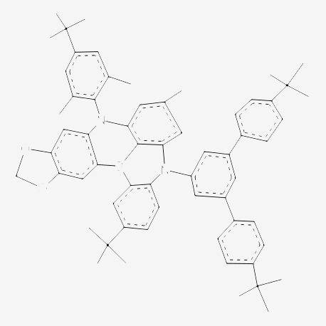 Cc1cc2c3c(c1)N(c1c(C)cc(C(C)(C)C)cc1C)c1cc4c(cc1B3c1cc(C(C)(C)C)ccc1N2c1cc(-c2ccc(C(C)(C)C)cc2)cc(-c2ccc(C(C)(C)C)cc2)c1)OCO4